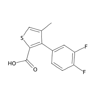 Cc1csc(C(=O)O)c1-c1ccc(F)c(F)c1